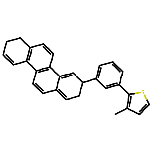 Cc1ccsc1-c1cccc(C2C=c3c(ccc4c5c(ccc34)CCC=C5)=CC2)c1